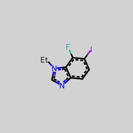 CCn1cnc2ccc(I)c(F)c21